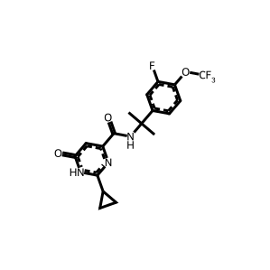 CC(C)(NC(=O)c1cc(=O)[nH]c(C2CC2)n1)c1ccc(OC(F)(F)F)c(F)c1